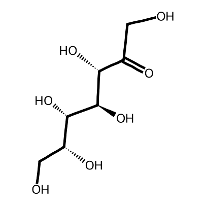 O=C(CO)[C@@H](O)[C@@H](O)[C@@H](O)[C@H](O)CO